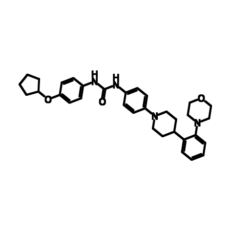 O=C(Nc1ccc(OC2CCCC2)cc1)Nc1ccc(N2CCC(c3ccccc3N3CCOCC3)CC2)cc1